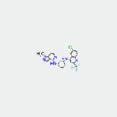 Cn1ncc2c(N[C@@H]3CCC[C@H](Nc4cc(C(F)(F)F)nc5ccc(Cl)cc45)C3)nccc21